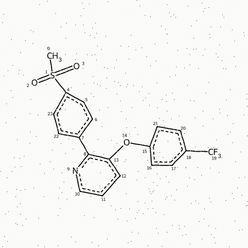 CS(=O)(=O)c1ccc(-c2ncccc2Oc2ccc(C(F)(F)F)cc2)cc1